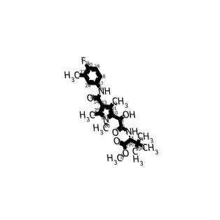 COC(=O)[C@H](NC(=O)C(O)c1c(C)c(C(=O)Nc2ccc(F)c(C)c2)c(C)n1C)C(C)(C)C